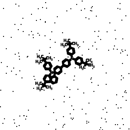 CC(C)(C)c1ccc(N(c2ccc(C3C=CC(c4ccccc4)(N(c4ccc(C(C)(C)C)cc4)c4ccc(C(C)(C)C)cc4)C=C3)cc2)c2ccc(C(C)(C)C)cc2)cc1